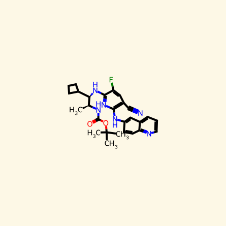 C[C@H](NC(=O)OC(C)(C)C)[C@H](Nc1nc(Nc2ccc3ncccc3c2)c(C#N)cc1F)C1CCC1